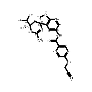 C#CCOc1cnc(C(=O)Nc2cnc3c(c2)[C@]2(CO3)C[C@](C)(C(F)F)SC(N)=N2)cn1